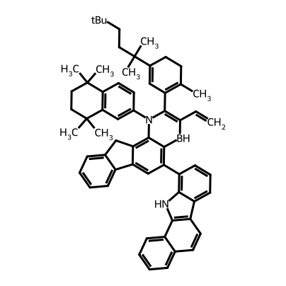 C=CC1=C(C2=C(C)CCC(C(C)(C)CCC(C)(C)C)=C2)N(c2ccc3c(c2)C(C)(C)CCC3(C)C)c2c(c(-c3cccc4c3[nH]c3c5ccccc5ccc43)cc3c2Cc2ccccc2-3)B1